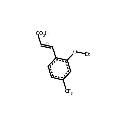 CCOc1cc(C(F)(F)F)ccc1/C=C/C(=O)O